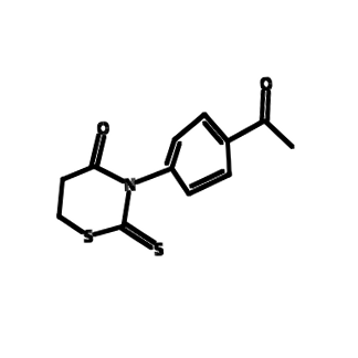 CC(=O)c1ccc(N2C(=O)CCSC2=S)cc1